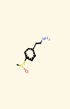 C[S+]([O-])c1ccc(CCN)cc1